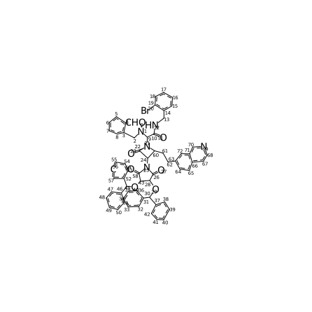 O=CN(Cc1ccccc1)C(C(=O)NCc1ccccc1Br)N1C(=O)C(N2C(=O)C(OC(c3ccccc3)c3ccccc3)C(OC(c3ccccc3)c3ccccc3)C2=O)C1CCc1ccc2ccncc2c1